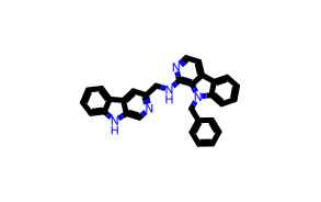 c1ccc(Cn2c3ccccc3c3ccnc(NCc4cc5c(cn4)[nH]c4ccccc45)c32)cc1